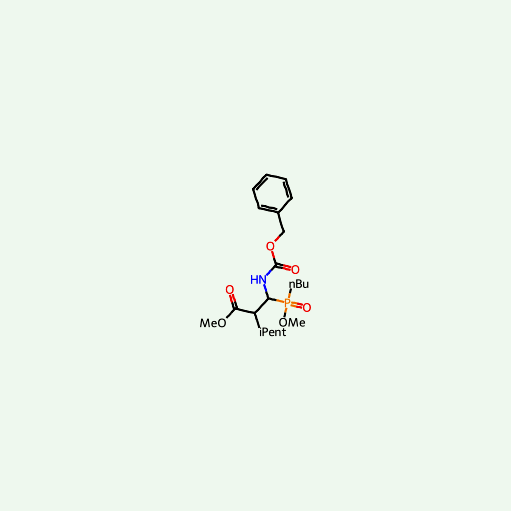 CCCCP(=O)(OC)C(NC(=O)OCc1ccccc1)C(C(=O)OC)C(C)CCC